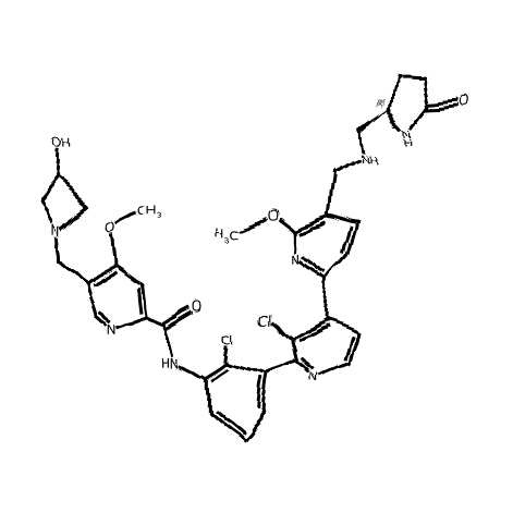 COc1cc(C(=O)Nc2cccc(-c3nccc(-c4ccc(CNC[C@H]5CCC(=O)N5)c(OC)n4)c3Cl)c2Cl)ncc1CN1CC(O)C1